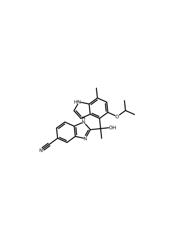 Cc1cc(OC(C)C)c(C(C)(O)c2nc3cc(C#N)ccc3[nH]2)c2cc[nH]c12